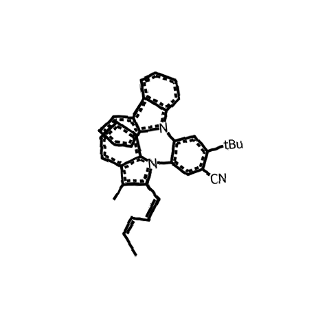 C/C=C\C=C/c1c(C)c2ccccc2n1-c1cc(C#N)c(C(C)(C)C)cc1-n1c2ccccc2c2ccccc21